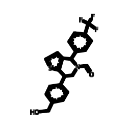 O=CN1CC(c2ccc(CO)cc2)c2sccc2C1c1ccc(C(F)(F)F)cc1